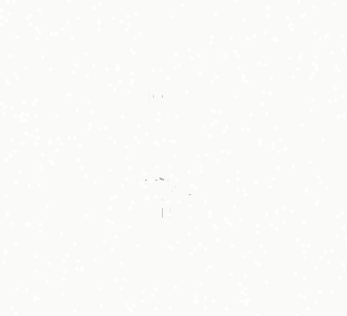 CC1(C)C2CCC1(CC1CCCC(O)C1)C(=O)C2